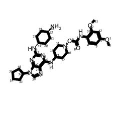 COc1ccc(NC(=O)ON2CCC(Nc3nc(N[C@H]4CC[C@H](N)CC4)nc4c3ncn4C3CCCC3)CC2)c(OC)c1